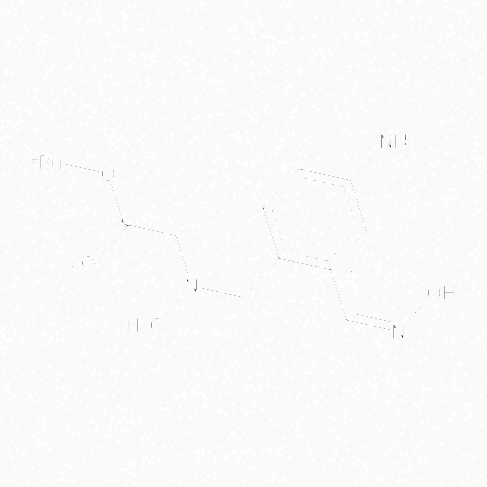 CN(CC(=O)OC(C)(C)C)Cc1ccc(N)cc1/C=N\O